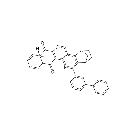 O=C1c2c(ccc3c4c(c(-c5cccc(-c6ccccc6)c5)nc23)C2CCC4C2)C(=O)[C@H]2C=CC=CC12